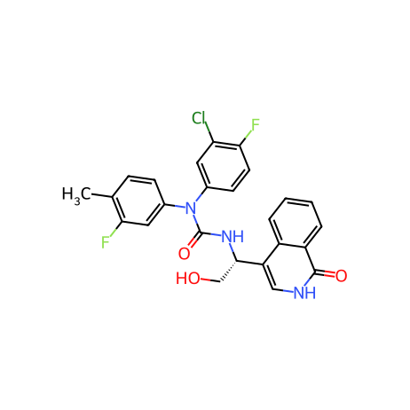 Cc1ccc(N(C(=O)N[C@@H](CO)c2c[nH]c(=O)c3ccccc23)c2ccc(F)c(Cl)c2)cc1F